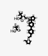 CC1CCCN1CCc1ccc(-c2ccc(C3(C(=O)NCC[C@@H](C(=O)O)C(C)(C)C)CCCC3)cc2)cc1.O=C(O)C(F)(F)F